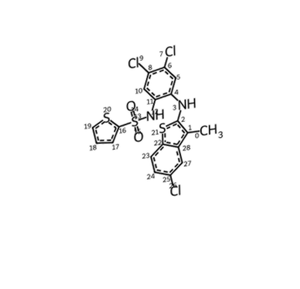 Cc1c(Nc2cc(Cl)c(Cl)cc2NS(=O)(=O)c2cccs2)sc2ccc(Cl)cc12